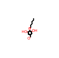 CCCCCCOc1c(O)cc(C=O)cc1O